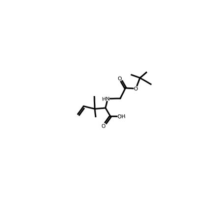 C=CC(C)(C)C(NCC(=O)OC(C)(C)C)C(=O)O